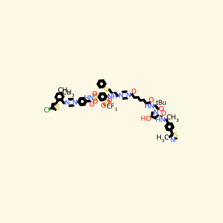 Cc1ncsc1-c1ccc([C@H](C)NC(=O)[C@@H]2C[C@@H](O)CN2C(=O)[C@@H](NC(=O)CCCCCC(=O)N2CCN(CC[C@H](CSc3ccccc3)Nc3ccc(S(=O)(=O)NC(=O)c4ccc(N5CCN(CC6=C(c7cc(Cl)cs7)CCC(C)(C)C6)CC5)cc4)cc3S(=O)(=O)C(F)(F)F)CC2)C(C)(C)C)cc1